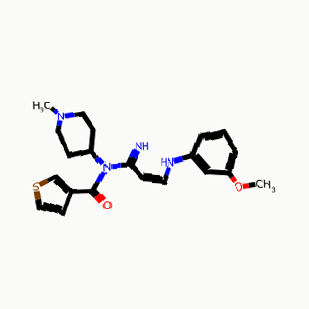 COc1cccc(N/C=C\C(=N)N(C(=O)c2ccsc2)C2CCN(C)CC2)c1